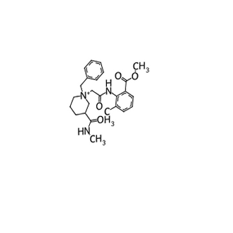 CNC(=O)C1CCC[N+](CC(=O)Nc2c(C)cccc2C(=O)OC)(Cc2ccccc2)C1